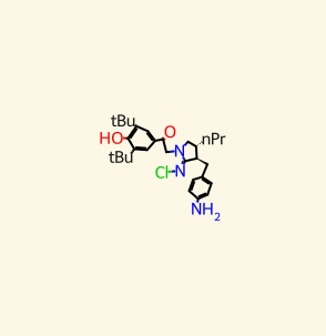 CCC[C@H]1CN(CC(=O)c2cc(C(C)(C)C)c(O)c(C(C)(C)C)c2)/C(=N\Cl)[C@@H]1Cc1ccc(N)cc1